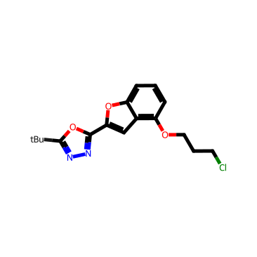 CC(C)(C)c1nnc(-c2cc3c(OCCCCl)cccc3o2)o1